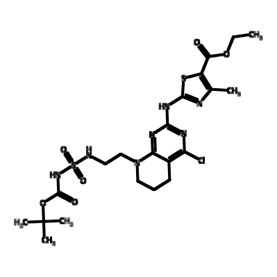 CCOC(=O)c1sc(Nc2nc(Cl)c3c(n2)N(CCNS(=O)(=O)NC(=O)OC(C)(C)C)CCC3)nc1C